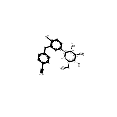 C#Cc1ccc(Cc2cc([C@@H]3O[C@H](CO)[C@@H](F)[C@H](O)[C@H]3O)ccc2Cl)cc1